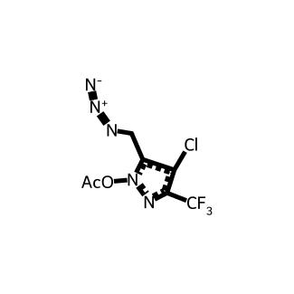 CC(=O)On1nc(C(F)(F)F)c(Cl)c1CN=[N+]=[N-]